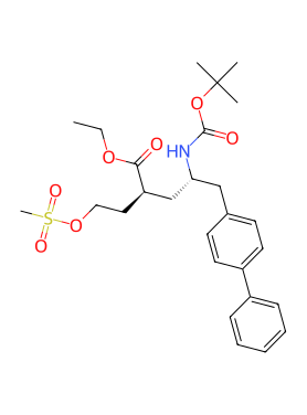 CCOC(=O)[C@H](CCOS(C)(=O)=O)C[C@@H](Cc1ccc(-c2ccccc2)cc1)NC(=O)OC(C)(C)C